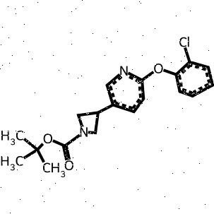 CC(C)(C)OC(=O)N1CC(c2ccc(Oc3ccccc3Cl)nc2)C1